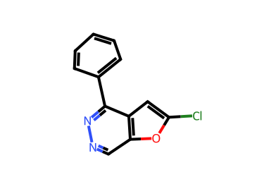 Clc1cc2c(-c3ccccc3)nncc2o1